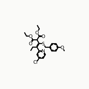 CCOC(=O)C(C(=O)OCC)C(SCc1ccc(OC)cc1)=C(CC)c1cc(Cl)ccn1